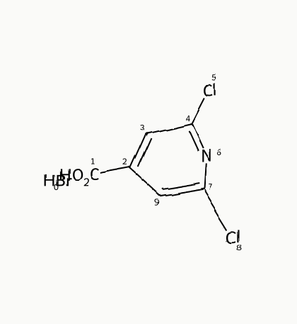 Br.O=C(O)c1cc(Cl)nc(Cl)c1